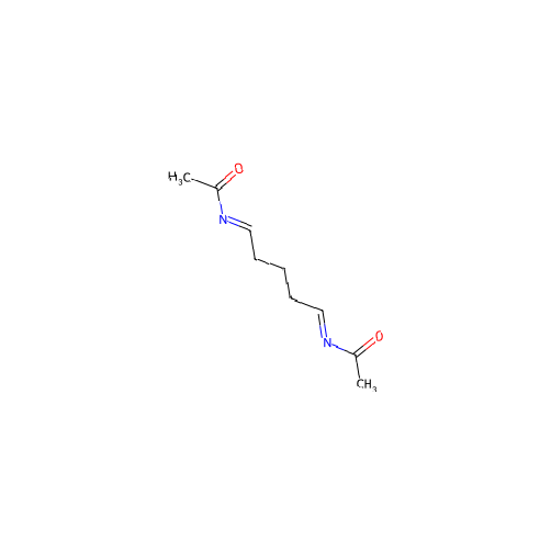 CC(=O)N=CCCCC=NC(C)=O